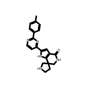 Cc1ccc(-c2nccc(-c3cc4c([nH]3)C3(CCNC3)CNC4=O)n2)cc1